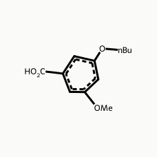 CCCCOc1cc(OC)cc(C(=O)O)c1